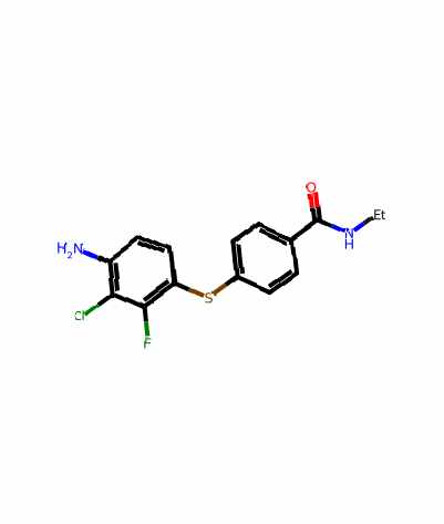 CCNC(=O)c1ccc(Sc2ccc(N)c(Cl)c2F)cc1